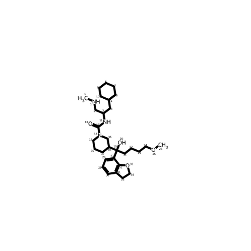 CNCC(CC1CCCCC1)NC(=O)N1CCCC(C(O)(CCCCOC)c2cccc3c2OCC3)C1